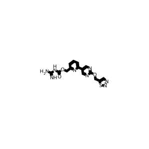 N=C(N)NC(=O)OCc1cccc(-c2cnc(OCc3cnns3)nc2)n1